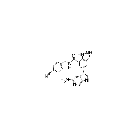 N#Cc1ccc(CNC(=O)c2cc(-c3c[nH]c4cnc(N)cc34)cc3c2NNC3)cc1